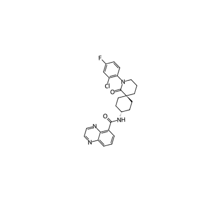 O=C(N[C@H]1CC[C@@]2(CCCN(c3ccc(F)cc3Cl)C2=O)CC1)c1cccc2nccnc12